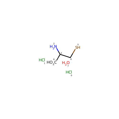 Cl.Cl.NC(CS)C(=O)O.O